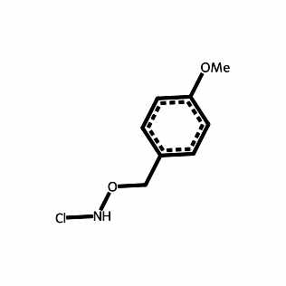 COc1ccc(CONCl)cc1